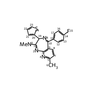 CNC1=Nc2nc(C)ccc2C(c2ccc(F)cc2)=NC1c1cccs1